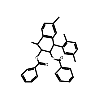 Cc1ccc(C)c(C2c3cc(C)ccc3C(C)C(OC(=O)c3ccccc3)C2OC(=O)c2ccccc2)c1